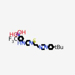 CC(C)(C)c1ccc(N2CCN(CCCC(=S)N3CCC(Nc4ccc(N(O)O)c(C(F)(F)F)c4)CC3)CC2)cc1